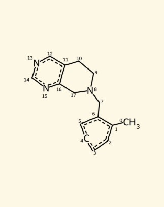 Cc1ccccc1CN1CCc2cncnc2C1